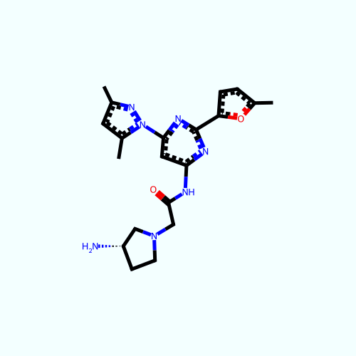 Cc1cc(C)n(-c2cc(NC(=O)CN3CC[C@H](N)C3)nc(-c3ccc(C)o3)n2)n1